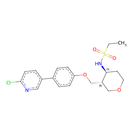 CCS(=O)(=O)N[C@H]1CCOC[C@@H]1COc1ccc(-c2ccc(Cl)nc2)cc1